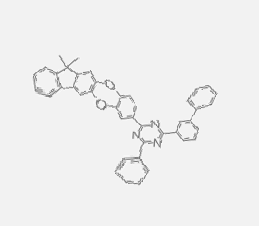 CC1(C)c2ccccc2-c2cc3c(cc21)Oc1ccc(-c2nc(-c4ccccc4)nc(-c4cccc(-c5ccccc5)c4)n2)cc1O3